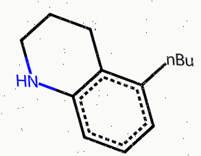 CCCCc1cccc2c1[CH]CCN2